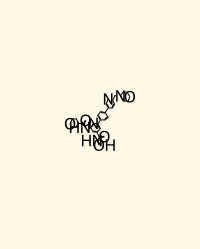 O=C(NO)c1cc(NC(=O)C2CCOCC2)nc(-c2ccc(-c3ccc(CN4CCOCC4)nc3)cc2)c1